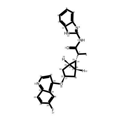 CC(C(=O)Nc1nc2ccccc2[nH]1)[C@@H]1[C@@H]2C[C@@H](Oc3ccnc4ccc(F)cc34)C[C@@H]21